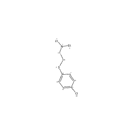 CCN(CC)CCSc1ccc(Cl)cc1